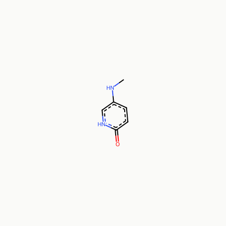 CNc1ccc(=O)[nH]c1